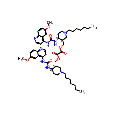 CCCCCCCN1CC[C@@H](NC(=O)Nc2ccnc3ccc(OC)cc23)[C@H](COC(=O)C(=O)OC[C@@H]2CN(CCCCCCC)CC[C@H]2NC(=O)Nc2ccnc3ccc(OC)cc23)C1